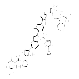 COC(=O)NC(C(=O)N1CCC[C@H]1c1ncc(-c2ccc3c(c2)cc2n3[C@H](c3cnc(C4CC4)s3)Oc3cc(-c4cnc([C@@H]5CS(C)(C)CN5C(=O)[C@@H](NC(=O)OC)C5CCOCC5)[nH]4)cc(F)c3-2)[nH]1)C(C)C